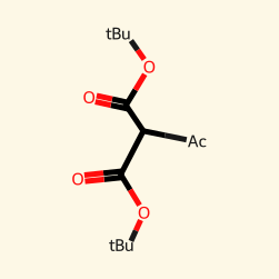 CC(=O)C(C(=O)OC(C)(C)C)C(=O)OC(C)(C)C